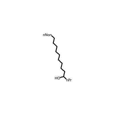 CCCCCCCCCCCCCCCCCCC(O)CCC